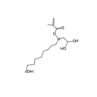 C=C(C)C(=O)ON(CCCCCCCCCCCCCCCCCC)CC(O)O